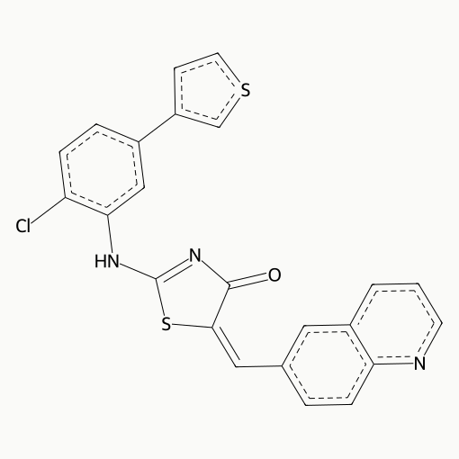 O=C1N=C(Nc2cc(-c3ccsc3)ccc2Cl)SC1=Cc1ccc2ncccc2c1